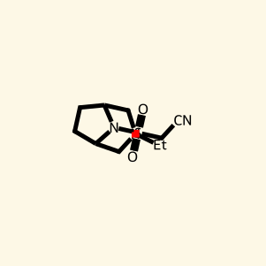 CCN1CC2CCC(C1)N2S(=O)(=O)CC#N